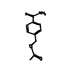 CC(=O)OCc1ccc(C(N)=S)cc1